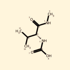 CNC(=O)[C@H](NC(=O)O)C(C)C